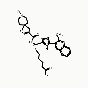 CCC(=O)CCCCC[C@H](NC(=O)C1=NOC2(CCN(C(C)C)CC2)C1)c1ncc(-c2cc3ccccc3nc2OC)[nH]1